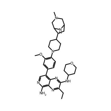 CCc1nc2c(N)ncc(-c3ccc(N4CCC(C5CC6CN(C)CC5N6)CC4)c(OC)c3)c2nc1NC1CCOCC1